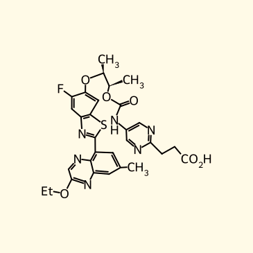 CCOc1cnc2c(-c3nc4cc(F)c(O[C@@H](C)[C@@H](C)OC(=O)Nc5cnc(CCC(=O)O)nc5)cc4s3)cc(C)cc2n1